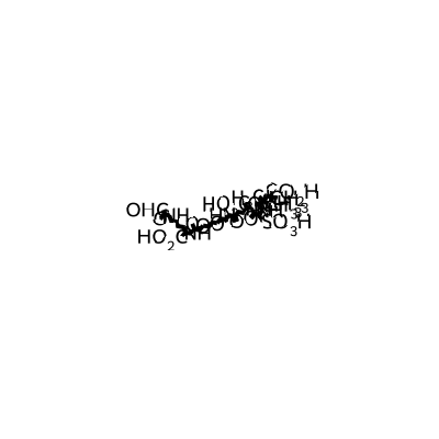 CC(C)(CC(C)(C)C(=O)NC(CS(=O)(=O)O)C(=O)NC(CCC(=O)NCCOCCOCC(=O)NC(CCCCNC(=O)C=O)C(=O)O)C(=O)O)C(=O)O